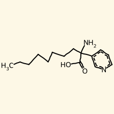 CCCCCCCCC(N)(C(=O)O)c1cccnc1